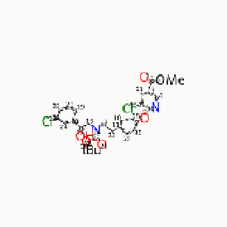 COC(=O)c1cnc(Oc2ccc(CCN(C[C@H](O)c3cccc(Cl)c3)C(=O)OC(C)(C)C)cc2)c(Cl)c1